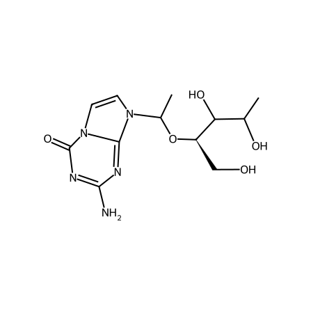 CC(O)C(O)[C@@H](CO)OC(C)n1ccn2c(=O)nc(N)nc12